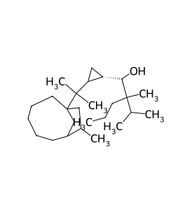 CCCC(C)(C(C)C)C(O)[C@H]1CC1C(C)(C)C12CCCCCC(C1)C(C)C2